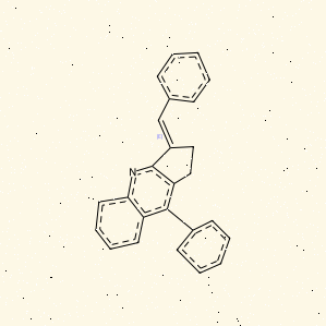 C(=C1/CCc2c1nc1ccccc1c2-c1ccccc1)/c1ccccc1